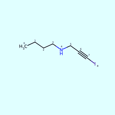 CCCCNCC#CI